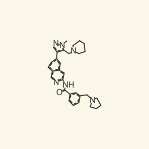 Cn1ncc(-c2ccc3cnc(NC(=O)c4cccc(CN5CCCC5)c4)cc3c2)c1CN1CCCCC1